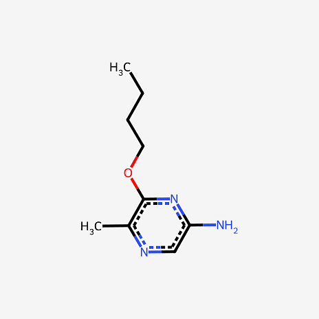 CCCCOc1nc(N)cnc1C